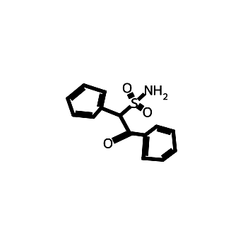 NS(=O)(=O)C(C(=O)c1ccccc1)c1ccccc1